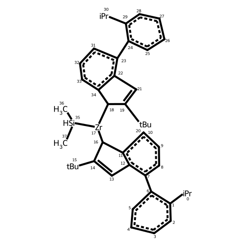 CC(C)c1ccccc1-c1cccc2c1C=C(C(C)(C)C)[CH]2[Zr]([CH]1C(C(C)(C)C)=Cc2c(-c3ccccc3C(C)C)cccc21)[SiH](C)C